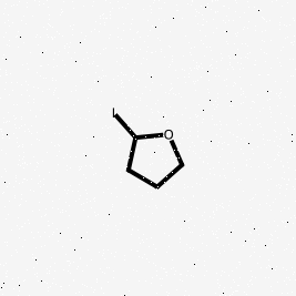 IC1CCCO1